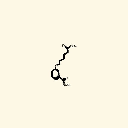 CNC(=O)c1cccc(SCCCCCC(=O)OC)c1